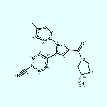 Cc1ccc(-n2nc(C(=O)N3CC[C@H](N)C3)cc2-c2ccc(C#N)cc2)cc1